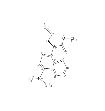 COC(=O)[C@H](CC=O)c1ccc(N(C)C)c2ccccc12